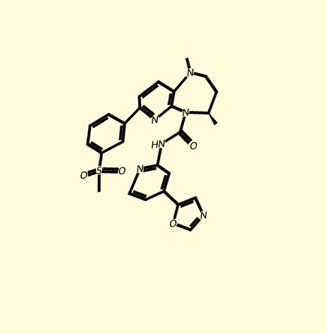 C[C@@H]1CCN(C)c2ccc(-c3cccc(S(C)(=O)=O)c3)nc2N1C(=O)Nc1cc(-c2cnco2)ccn1